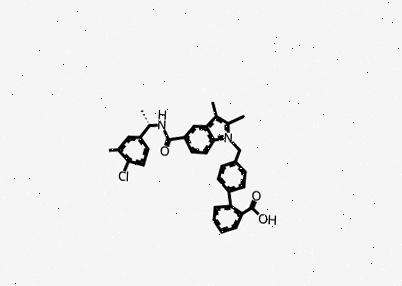 Cc1cc([C@H](C)NC(=O)c2ccc3c(c2)c(C)c(C)n3Cc2ccc(-c3ccccc3C(=O)O)cc2)ccc1Cl